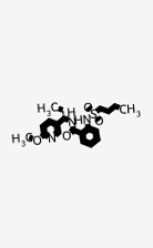 CCCCS(=O)(=O)Nc1ccccc1C(=O)N[C@@H](CC)c1ccc(OC)nc1